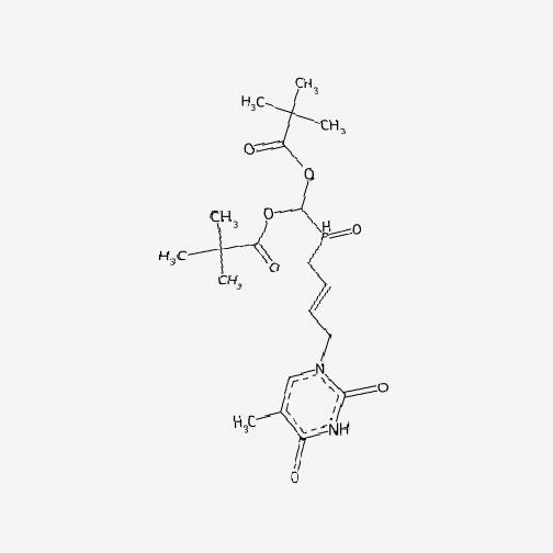 Cc1cn(C/C=C/C[PH](=O)C(OC(=O)C(C)(C)C)OC(=O)C(C)(C)C)c(=O)[nH]c1=O